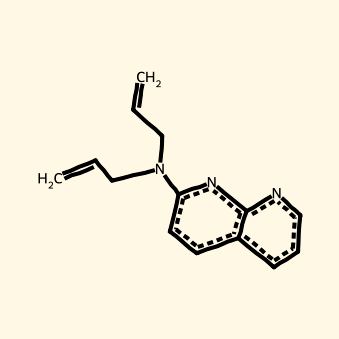 C=CCN(CC=C)c1ccc2cccnc2n1